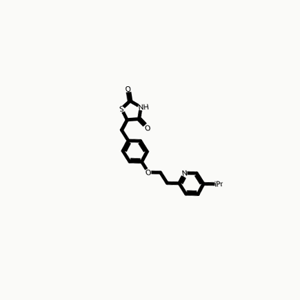 CC(C)c1ccc(CCOc2ccc(CC3SC(=O)NC3=O)cc2)nc1